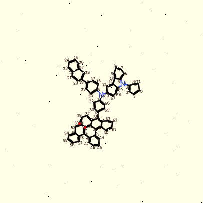 c1ccc(-n2c3ccccc3c3cc(N(c4ccc(-c5ccc6ccccc6c5)cc4)c4ccc(-c5c6ccccc6c(-c6ccccc6-c6cccc7ccccc67)c6ccccc56)cc4)ccc32)cc1